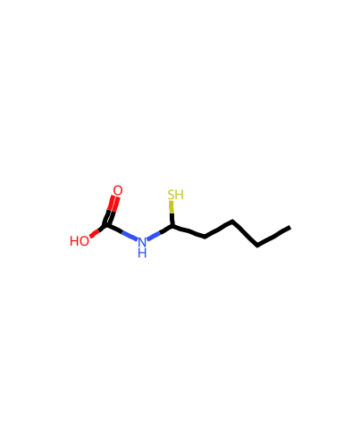 CCCCC(S)NC(=O)O